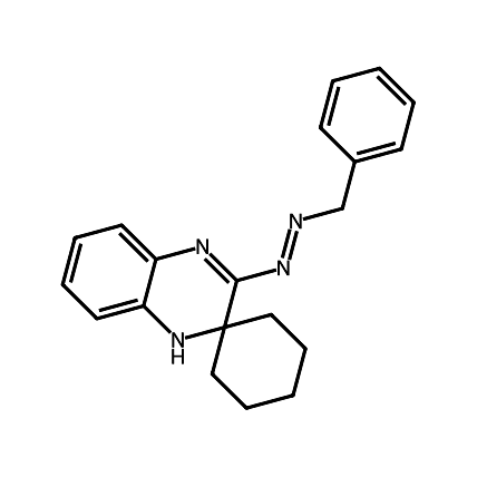 c1ccc(CN=NC2=Nc3ccccc3NC23CCCCC3)cc1